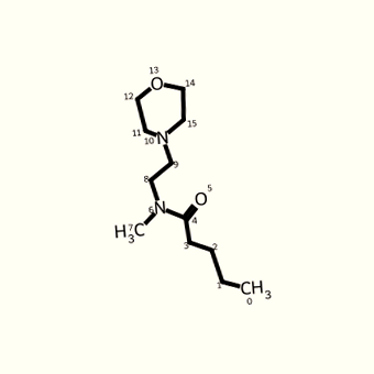 CCCCC(=O)N(C)CCN1CCOCC1